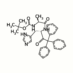 C[C@H](NC(=O)OC(C)(C)C)C(=O)N[C@@H](Cc1cnc[nH]1)C(=O)C(c1ccccc1)(c1ccccc1)c1ccccc1